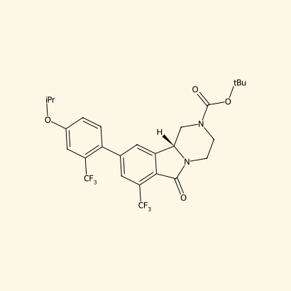 CC(C)Oc1ccc(-c2cc3c(c(C(F)(F)F)c2)C(=O)N2CCN(C(=O)OC(C)(C)C)C[C@@H]32)c(C(F)(F)F)c1